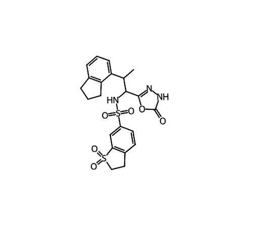 CC(c1cccc2c1CCC2)C(NS(=O)(=O)c1ccc2c(c1)S(=O)(=O)CC2)c1n[nH]c(=O)o1